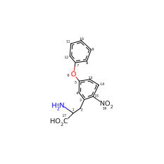 NC(Cc1cc(Oc2ccccc2)ccc1[N+](=O)[O-])C(=O)O